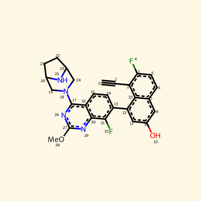 C#Cc1c(F)ccc2cc(O)cc(-c3ccc4c(N5CC6CCC(C5)N6)nc(OC)nc4c3F)c12